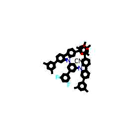 Cc1cc(C)cc(-c2ccc3c4ccc(-c5cc(C)cc(C)c5)cc4n(-c4cc(-c5cc(F)cc(F)c5)cc(-n5c6cc(-c7cc(C)cc(C)c7)ccc6c6ccc(-c7cc(C)cc(C)c7)cc65)c4C#N)c3c2)c1